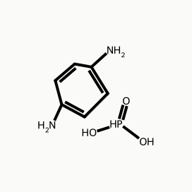 Nc1ccc(N)cc1.O=[PH](O)O